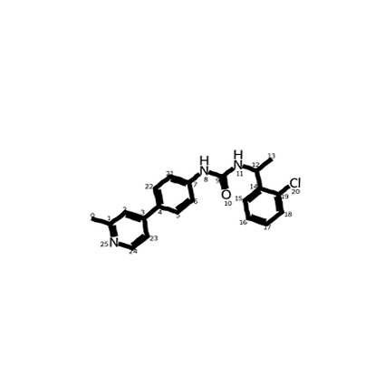 Cc1cc(-c2ccc(NC(=O)NC(C)c3ccccc3Cl)cc2)ccn1